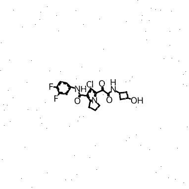 O=C(NC1CC(O)C1)C(=O)c1c(Cl)c(C(=O)Nc2ccc(F)c(F)c2)c2n1CCC2